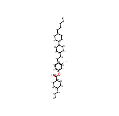 CCCCCC1CCC(C2CCC(CCc3ccc(OC(=O)C4CCC(CCC)CC4)cc3F)CC2)CC1